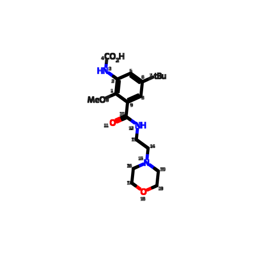 COc1c(NC(=O)O)cc(C(C)(C)C)cc1C(=O)NCCN1CCOCC1